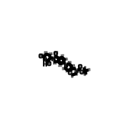 CC(C)(C)OC(=O)N1CCOC2(CCN(c3ccc4c(c3)CN(C3CCC(=O)NC3=O)C4=O)CC2)C1